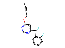 CC#CCOc1cc(C(F)c2ccccc2F)ncn1